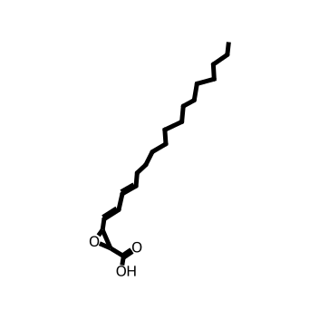 CCCCCCCCCCCCCC=CC=CC1OC1C(=O)O